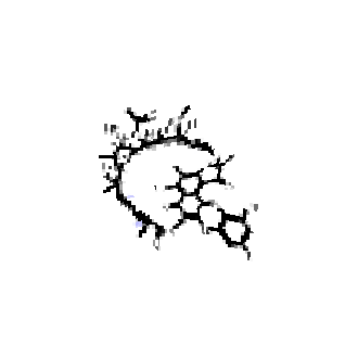 CO[C@H]1/C=C/O[C@@]2(C)Oc3c(C)c(O)c4c(=O)c(c5oc6cc(Br)cc(O)c6nc-5c4c3C2=O)NC(=O)/C(C)=C\C=C\[C@H](C)[C@@H]2O[C@H]([C@H](O)[C@@H]2C)[C@H](OC(C)=O)[C@@H]1C